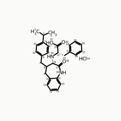 CC(C)c1ccc(CC2Cc3ccccc3NC(=O)[C@H]2N[C@@H](Cc2ccccc2)C(=O)O)cc1.Cl